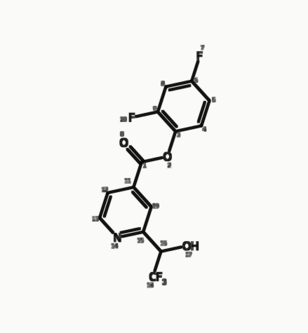 O=C(Oc1ccc(F)cc1F)c1ccnc(C(O)C(F)(F)F)c1